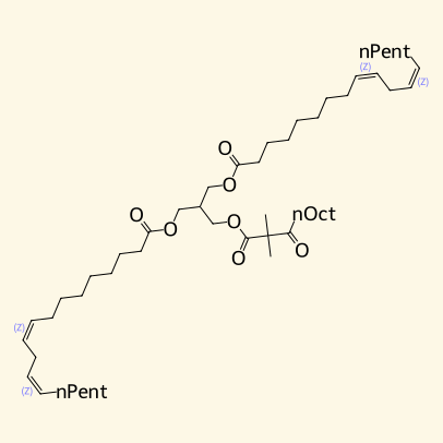 CCCCC/C=C\C/C=C\CCCCCCCC(=O)OCC(COC(=O)CCCCCCC/C=C\C/C=C\CCCCC)COC(=O)C(C)(C)C(=O)CCCCCCCC